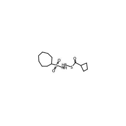 O=C(SBNS(=O)(=O)C1CCCCCCC1)C1CCC1